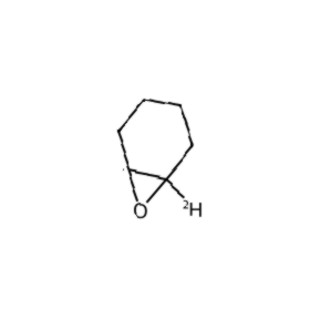 [2H]C12CCCC[C]1O2